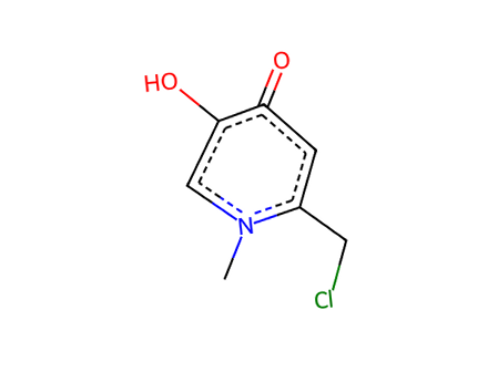 Cn1cc(O)c(=O)cc1CCl